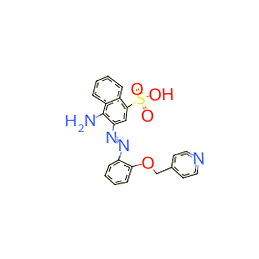 Nc1c(/N=N/c2ccccc2OCc2ccncc2)cc(S(=O)(=O)O)c2ccccc12